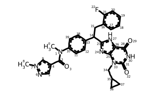 CN(C(=O)c1cnn(C)c1)c1ccc(C(Cc2ccccc2F)c2nc3c([nH]2)c(=O)[nH]c(=O)n3CC2CC2)cc1